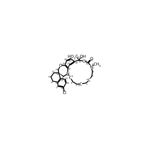 CN1CCCCCCCCN2C[C@@]3(CCCc4cc(Cl)ccc43)COc3ccc(cc32)[C@@](O)(C(=O)O)CC1=O